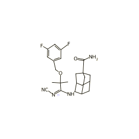 CC(C)(OCc1cc(F)cc(F)c1)/C(=N\C#N)NC1C2CC3CC1CC(C(N)=O)(C3)C2